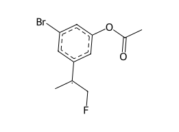 C[C](CF)c1cc(Br)cc(OC(C)=O)c1